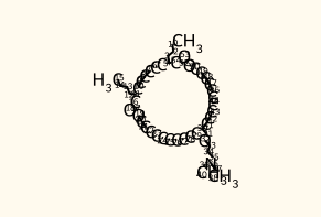 CCCCC1CCCCCCC(CCCC)CC(=O)OCCCCCCCCCCC(COCCCN(CC)CC)CCCCCCCCCCOC(=O)C1